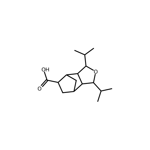 CC(C)C1OC(C(C)C)C2C3CC(CC3C(=O)O)C12